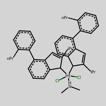 CCCc1ccccc1-c1cccc2c1C=C(C(C)C)[CH]2[Hf]([Cl])([Cl])([CH]1C(C(C)C)=Cc2c(-c3ccccc3CCC)cccc21)[SiH](C)C